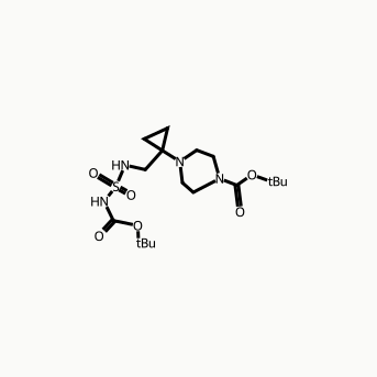 CC(C)(C)OC(=O)NS(=O)(=O)NCC1(N2CCN(C(=O)OC(C)(C)C)CC2)CC1